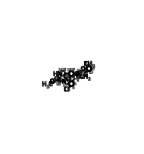 COCCc1ccc(Cl)c(CN(C(=O)C2=C(c3ccc(OCCOc4c(C)cccc4C)cc3)CCN[C@@H]2COCOC)C2CC2)c1